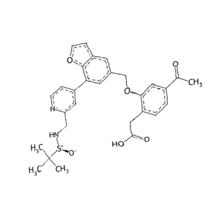 CC(=O)c1ccc(CC(=O)O)c(OCc2cc(-c3ccnc(CN[S@@+]([O-])C(C)(C)C)c3)c3occc3c2)c1